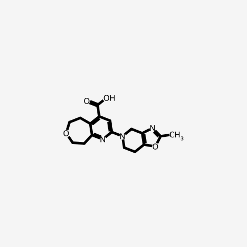 Cc1nc2c(o1)CCN(c1cc(C(=O)O)c3c(n1)CCOCC3)C2